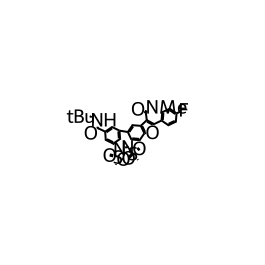 CNC(=O)c1c(-c2ccc(F)cc2)oc2cc3c(cc12)-c1cc(C(=O)NC(C)(C)C)cc(c1)N(S(C)(=O)=O)N3S(C)(=O)=O